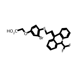 O=C(O)COc1ccc(SCC=C(c2ccccc2)c2ccccc2C(F)C(F)F)c(Br)c1